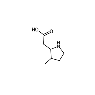 CC1CCNC1CC(=O)O